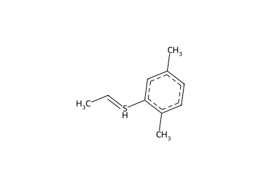 CC=[SH]c1cc(C)ccc1C